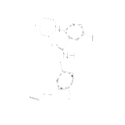 C=CCOc1cc(CNC(=O)c2cc(F)ccc2N2CCOCC2)ccc1OC